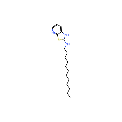 CCCCCCCCCCCCNC1Nc2cccnc2S1